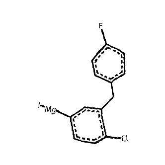 Fc1ccc(Cc2c[c]([Mg][I])ccc2Cl)cc1